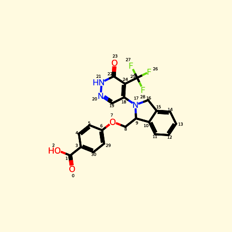 O=C(O)c1ccc(OCC2c3ccccc3CN2c2cn[nH]c(=O)c2C(F)(F)F)cc1